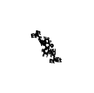 CCN(CC)CCNc1cccc2c1C(=O)c1cccc3c1c-2nn3CCN(CC)CC